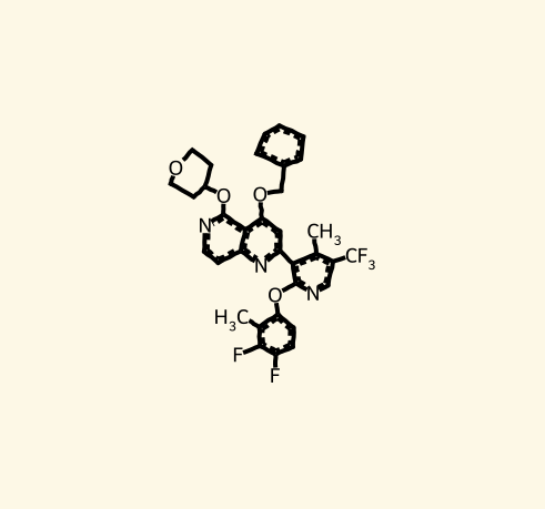 Cc1c(Oc2ncc(C(F)(F)F)c(C)c2-c2cc(OCc3ccccc3)c3c(OC4CCOCC4)nccc3n2)ccc(F)c1F